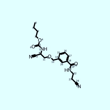 CCCCOC(=O)NC(C#N)COCc1cccc(C(=O)NCCC#N)c1